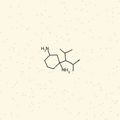 CC(C)C(C(C)C)C1(N)CCCC(N)C1